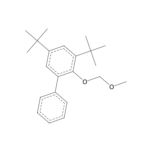 COCOc1c(-c2ccccc2)cc(C(C)(C)C)cc1C(C)(C)C